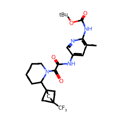 Cc1cc(NC(=O)C(=O)N2CCCCC2C23CC(C(F)(F)F)(C2)C3)cnc1NC(=O)OC(C)(C)C